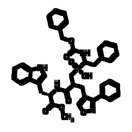 COC(=O)[C@H](Cc1c[nH]c2ccccc12)NC(=O)C(Cc1conc1-c1ccccc1)CP(=O)(O)C(Cc1ccccc1)NC(=O)OCc1ccccc1